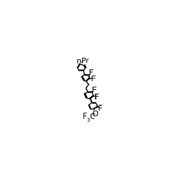 CCCc1ccc(-c2ccc(CCc3ccc(-c4ccc(OC(F)(F)F)c(F)c4)c(F)c3F)c(F)c2F)cc1